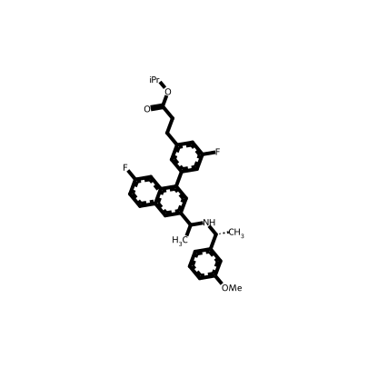 COc1cccc([C@@H](C)NC(C)c2cc(-c3cc(F)cc(CCC(=O)OC(C)C)c3)c3cc(F)ccc3c2)c1